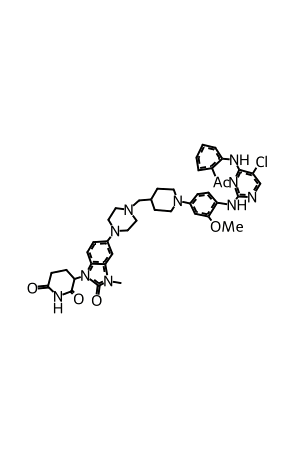 COc1cc(N2CCC(CN3CCN(c4ccc5c(c4)n(C)c(=O)n5C4CCC(=O)NC4=O)CC3)CC2)ccc1Nc1ncc(Cl)c(Nc2ccccc2C(C)=O)n1